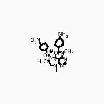 C[C@@H]1CNc2ncnc(N(C)Cc3ccc(N)cc3)c2[C@H](O)N1S(=O)(=O)c1ccc([N+](=O)[O-])cc1